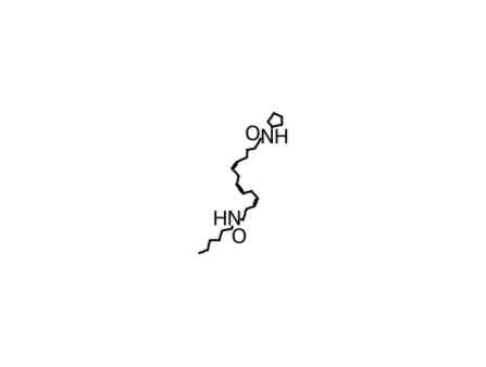 CCCCCC(=O)NCC/C=C\C/C=C\C/C=C\CCCC(=O)NC1CCCC1